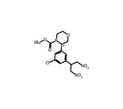 CC(C)(C)OC(=O)N1CCOC[C@H]1c1cc(Cl)cc(C(C[N+](=O)[O-])C[N+](=O)[O-])c1